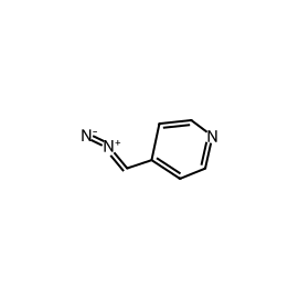 [N-]=[N+]=Cc1ccncc1